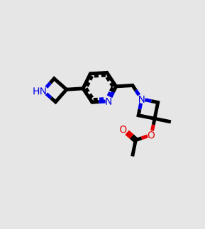 CC(=O)OC1(C)CN(Cc2ccc(C3CNC3)cn2)C1